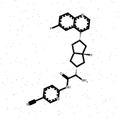 N#Cc1ccc(NC(=O)C(N)[C@@H]2CC3C[C@H](c4ccnc5ccc(F)cc45)C[C@@H]3C2)nc1